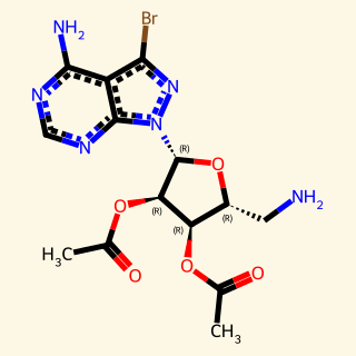 CC(=O)O[C@@H]1[C@H](OC(C)=O)[C@@H](CN)O[C@H]1n1nc(Br)c2c(N)ncnc21